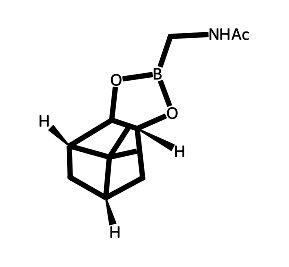 CC(=O)NCB1OC2[C@H]3C[C@@H](C[C@H]2O1)C3(C)C